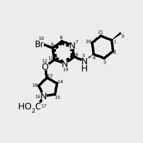 C[C@H]1CC[C@H](Nc2ncc(Br)c(OC3CCN(C(=O)O)C3)n2)CC1